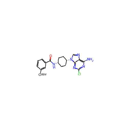 COc1cccc(C(=O)N[C@H]2CC[C@@H](n3cnc4c(N)nc(Cl)nc43)CC2)c1